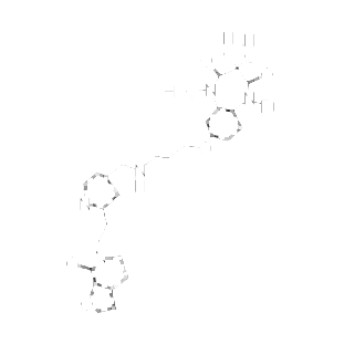 CCN1C(=O)C(C)(C)C(=O)N(C)c2cc(OCCCNCc3ccnc(CCn4ccc5ccoc5c4=O)c3)ccc21